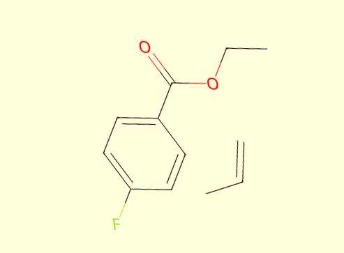 C=CC.CCOC(=O)c1ccc(F)cc1